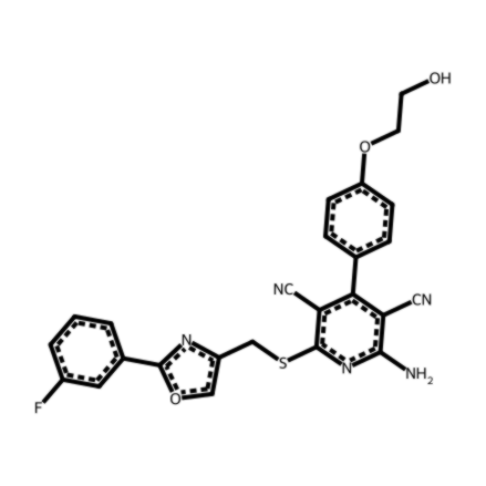 N#Cc1c(N)nc(SCc2coc(-c3cccc(F)c3)n2)c(C#N)c1-c1ccc(OCCO)cc1